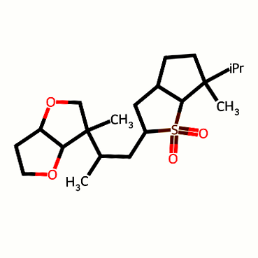 CC(C)C1(C)CCC2CC(CC(C)C3(C)COC4CCOC43)S(=O)(=O)C21